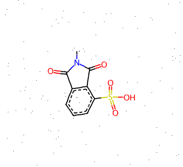 [CH2]N1C(=O)c2cccc(S(=O)(=O)O)c2C1=O